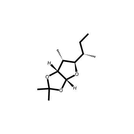 CC[C@H](C)[C@H]1O[C@@H]2OC(C)(C)O[C@@H]2[C@@H]1C